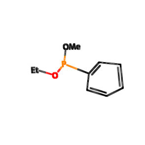 CCOP(OC)c1ccccc1